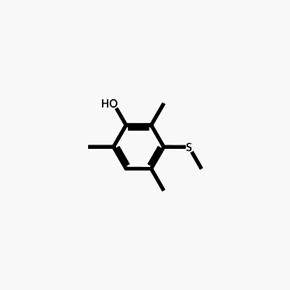 CSc1c(C)cc(C)c(O)c1C